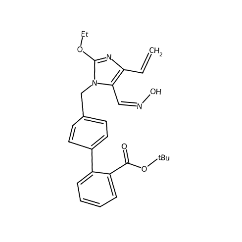 C=Cc1nc(OCC)n(Cc2ccc(-c3ccccc3C(=O)OC(C)(C)C)cc2)c1/C=N\O